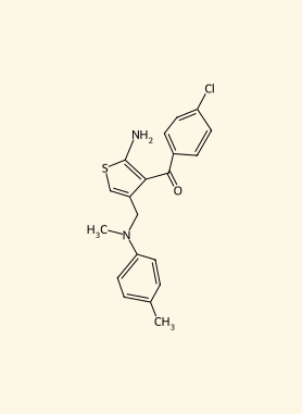 Cc1ccc(N(C)Cc2csc(N)c2C(=O)c2ccc(Cl)cc2)cc1